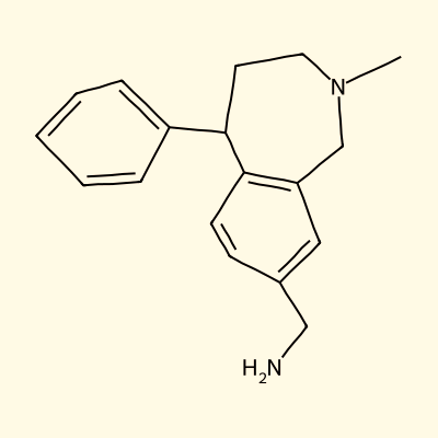 CN1CCC(c2ccccc2)c2ccc(CN)cc2C1